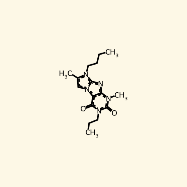 CCCCn1c(C)cn2c3c(=O)n(CCC)c(=O)n(C)c3nc12